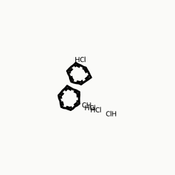 C.Cl.Cl.Cl.Cl.c1ccccc1.c1ccccc1